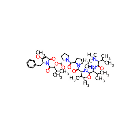 COC1=CC(=O)N(C(=O)[C@@H](OC(=O)[C@@H]2CCCN2C(=O)C2CCCN2C(=O)[C@H](C(C)C)N(C)C(=O)[C@@H](NC(=O)[C@H](C(C)C)N(C)C)C(C)C)C(C)C)[C@H]1Cc1ccccc1